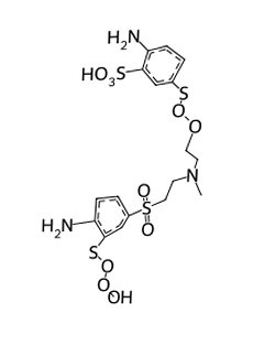 CN(CCOOSc1ccc(N)c(S(=O)(=O)O)c1)CCS(=O)(=O)c1ccc(N)c(SOOO)c1